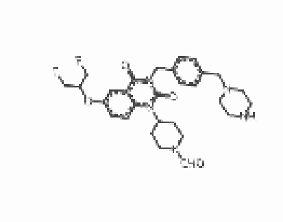 O=CN1CCC(n2c(=O)n(Cc3ccc(CN4CCNCC4)cc3)c(=O)c3cc(OC(CF)CF)ccc32)CC1